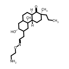 CCC[C@@]1(C)CC[C@H]2[C@@H](CCC3C[C@@H](O)C(C/C=N/OCCN)C[C@@]32C)C1=O